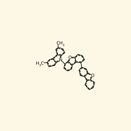 Cc1ccc2c(c1)c1cc(C)ccc1n2-c1cccc2c1oc1cccc(-c3ccc4c(c3)oc3ccccc34)c12